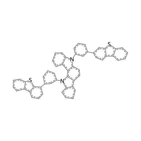 c1cc(-c2ccc3c(c2)sc2ccccc23)cc(-n2c3ccccc3c3c2ccc2c4ccccc4n(-c4cccc(-c5cccc6c5sc5ccccc56)c4)c23)c1